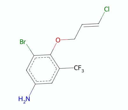 Nc1cc(Br)c(OCC=CCl)c(C(F)(F)F)c1